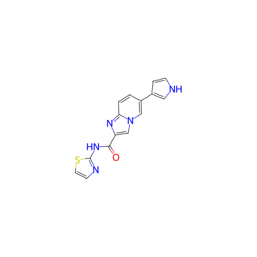 O=C(Nc1nccs1)c1cn2cc(-c3cc[nH]c3)ccc2n1